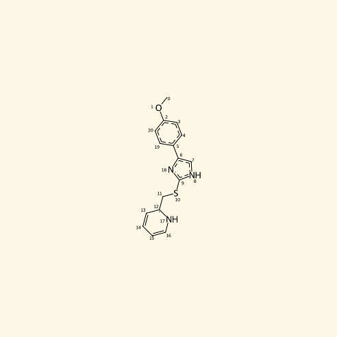 COc1ccc(-c2c[nH]c(SC[C]3C=CC=CN3)n2)cc1